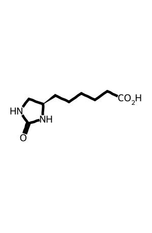 O=C(O)CCCCC[C@@H]1CNC(=O)N1